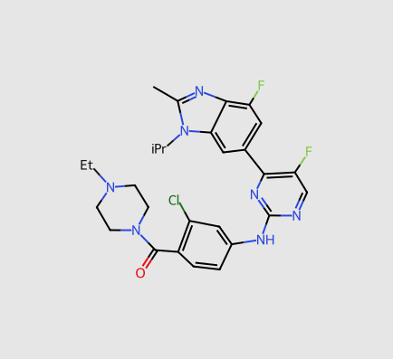 CCN1CCN(C(=O)c2ccc(Nc3ncc(F)c(-c4cc(F)c5nc(C)n(C(C)C)c5c4)n3)cc2Cl)CC1